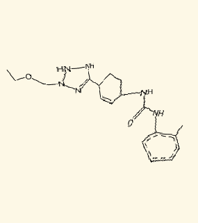 CCOCN1N=C(C2C=CC(NC(=O)Nc3ccccc3C)CC2)NN1